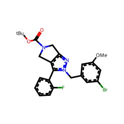 COc1cc(Br)cc(Cn2nc3c(c2-c2ccccc2F)CN(C(=O)OC(C)(C)C)C3)c1